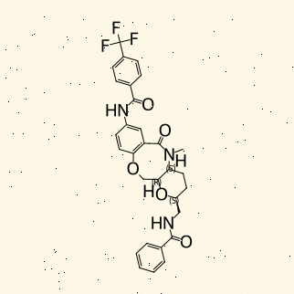 CN1C(=O)c2cc(NC(=O)c3ccc(C(F)(F)F)cc3)ccc2OC[C@@H]2O[C@H](CNC(=O)c3ccccc3)CC[C@@H]21